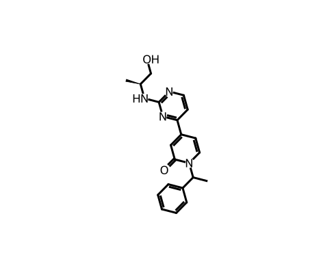 CC(c1ccccc1)n1ccc(-c2ccnc(N[C@@H](C)CO)n2)cc1=O